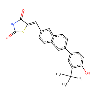 CC(C)(C)c1cc(-c2ccc3cc(/C=C4\SC(=O)NC4=O)ccc3c2)ccc1O